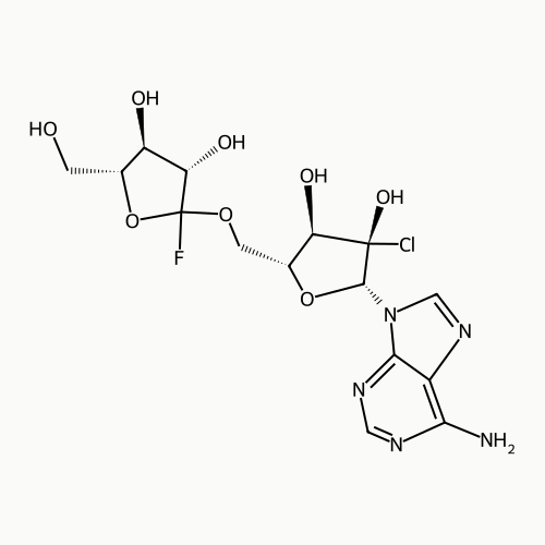 Nc1ncnc2c1ncn2[C@@H]1O[C@H](COC2(F)O[C@H](CO)[C@@H](O)[C@@H]2O)[C@@H](O)[C@]1(O)Cl